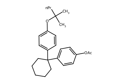 CCCC(C)(C)Oc1ccc(C2(c3ccc(OC(C)=O)cc3)CCCCC2)cc1